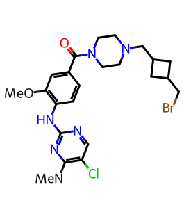 CNc1nc(Nc2ccc(C(=O)N3CCN(CC4CC(CBr)C4)CC3)cc2OC)ncc1Cl